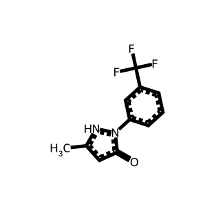 Cc1cc(=O)n(-c2cccc(C(F)(F)F)c2)[nH]1